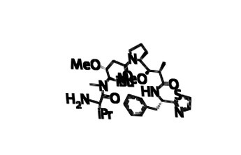 CC[C@H](C)C([C@@H](CC(=O)N1CCC[C@H]1[C@H](OC)[C@@H](C)C(=O)N[C@@H](Cc1ccccc1)c1nccs1)OC)N(C)C(=O)C(N)C(C)C